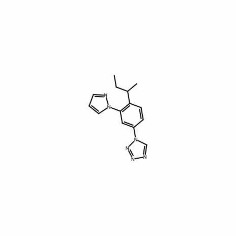 CCC(C)c1ccc(-n2cnnn2)cc1-n1cccn1